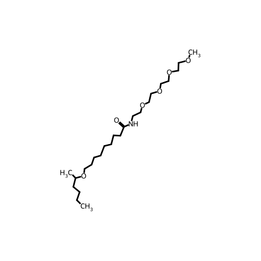 CCCCC(C)OCCCCCCCCC(=O)NCCOCCOCCOCCOC